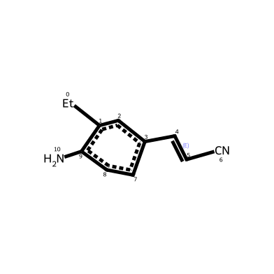 CCc1cc(/C=C/C#N)ccc1N